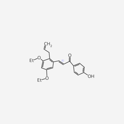 C=CCc1c(/C=C/C(=O)c2ccc(O)cc2)cc(OCC)cc1OCC